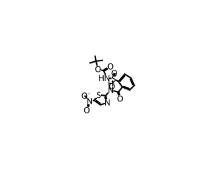 CC(C)(C)OC(=O)NS(=O)(=O)c1ccccc1C(=O)Nc1ncc([N+](=O)[O-])s1